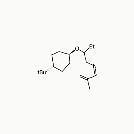 C=C(C)/C=N\CC(CC)O[C@H]1CC[C@H](C(C)(C)C)CC1